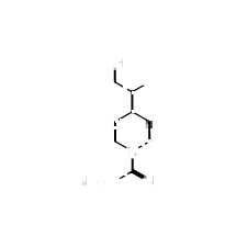 CCCCCCCC(=N)N1CCC(C(C)CO)CC1.Cl